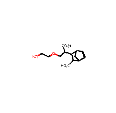 O=C(O)C(COCCO)C1C2C=CC(C2)C1C(=O)O